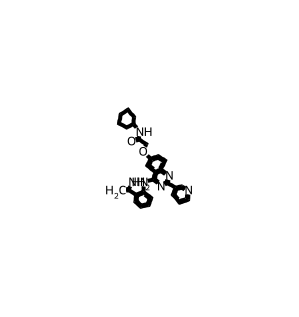 C=C(N)c1ccccc1Nc1nc(-c2cccnc2)nc2ccc(OCC(=O)NC3CCCCC3)cc12